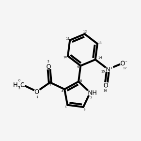 COC(=O)c1cc[nH]c1-c1ccccc1[N+](=O)[O-]